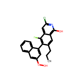 N#CCCc1cc2c(O)nc(Cl)cc2c(F)c1-c1cc(OO)cc2ccccc12